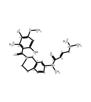 COc1cc(O)c(C(=O)N2CCc3ccc(N(C)C(=O)/C=C/CN(C)C)cc3C2)c(C)c1Cl